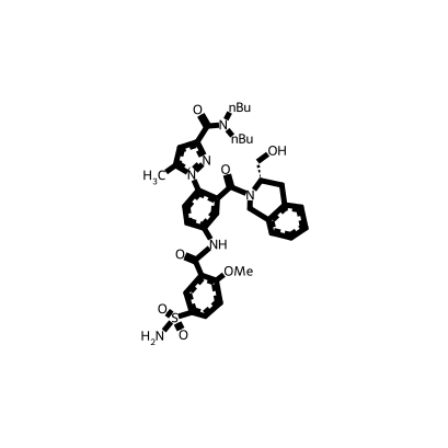 CCCCN(CCCC)C(=O)c1cc(C)n(-c2ccc(NC(=O)c3cc(S(N)(=O)=O)ccc3OC)cc2C(=O)N2Cc3ccccc3C[C@H]2CO)n1